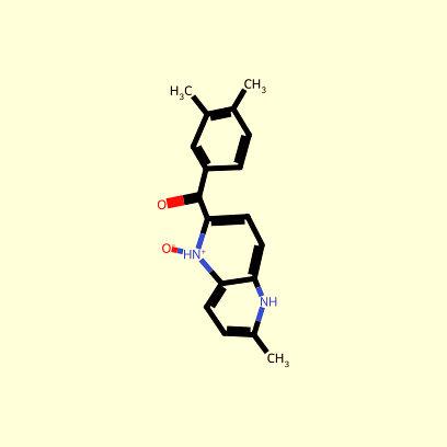 CC1=CC=C2C(=CC=C(C(=O)c3ccc(C)c(C)c3)[NH+]2[O-])N1